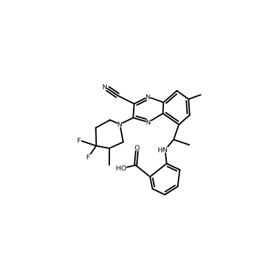 Cc1cc(C(C)Nc2ccccc2C(=O)O)c2nc(N3CCC(F)(F)C(C)C3)c(C#N)nc2c1